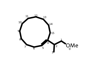 COCC(C)C1=CCCCCCCCCCC1